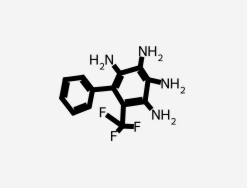 Nc1c(N)c(N)c(C(F)(F)F)c(-c2ccccc2)c1N